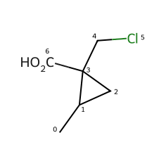 CC1CC1(CCl)C(=O)O